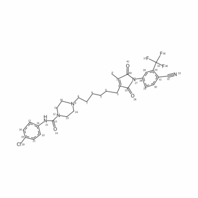 CC1=C(CCCCCCN2CCN(C(=O)Nc3ccc(Cl)cc3)CC2)C(=O)N(c2ccc(C#N)c(C(F)(F)F)c2)C1=O